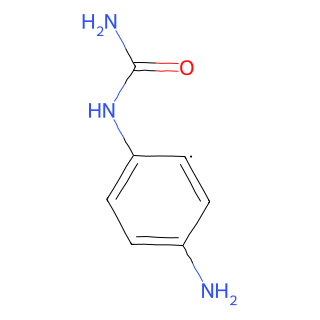 NC(=O)Nc1[c]cc(N)cc1